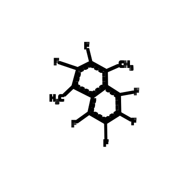 Cc1c(F)c(F)c(C)c2c(F)c(F)c(F)c(F)c12